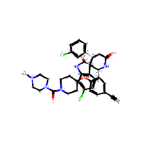 C#Cc1ccc(OC2CCN(C(=O)N3CCN(C)CC3)CC2)c([C@H]2NC(=O)C[C@@H](c3cccc(Cl)c3)[C@]23C(=O)Nc2cc(Cl)ccc23)c1